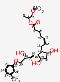 CC(CO[N+](=O)[O-])OC(=O)CCC/C=C\C[C@@H]1[C@@H](/C=C/[C@@H](O)COc2cccc(C(F)(F)F)c2)[C@H](O)C[C@@H]1O